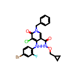 O=C(NOCC1CC1)c1cn(Cc2ccccc2)c(=O)c(Cl)c1Nc1ccc(Br)cc1F